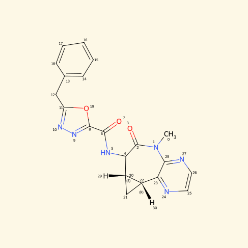 CN1C(=O)C(NC(=O)c2nnc(Cc3ccccc3)o2)[C@H]2C[C@H]2c2nccnc21